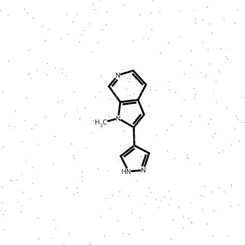 Cn1c(-c2cn[nH]c2)cc2ccncc21